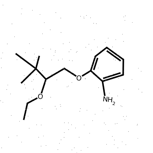 CCOC(COc1ccccc1N)C(C)(C)C